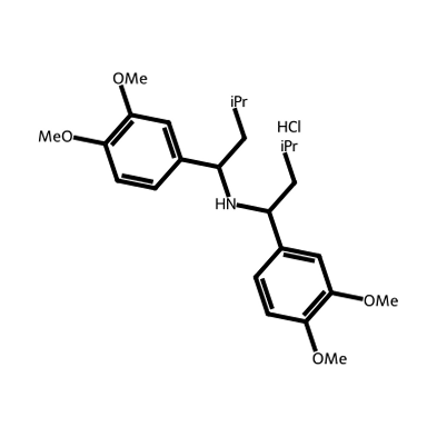 COc1ccc(C(CC(C)C)NC(CC(C)C)c2ccc(OC)c(OC)c2)cc1OC.Cl